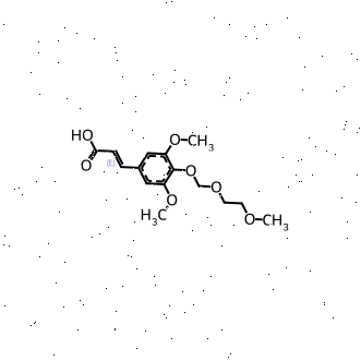 COCCOCOc1c(OC)cc(/C=C/C(=O)O)cc1OC